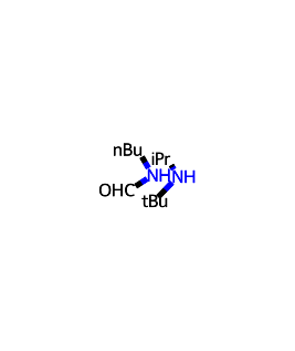 CC(C)NC(C)(C)C.CCCCNC=O